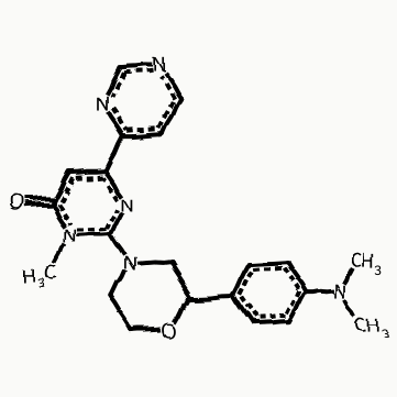 CN(C)c1ccc(C2CN(c3nc(-c4ccncn4)cc(=O)n3C)CCO2)cc1